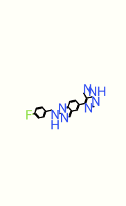 Fc1ccc(CNc2ncc3cc(-c4ncnc5[nH]ncc45)ccc3n2)cc1